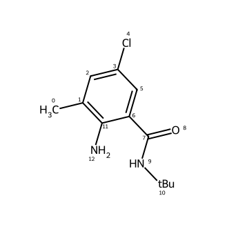 Cc1cc(Cl)cc(C(=O)NC(C)(C)C)c1N